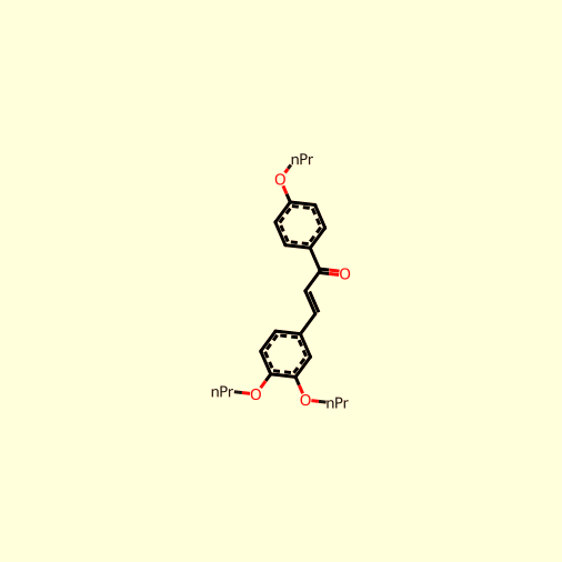 CCCOc1ccc(C(=O)C=Cc2ccc(OCCC)c(OCCC)c2)cc1